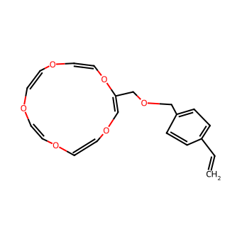 C=Cc1ccc(COCC2=COC=COC=COC=COC=CO2)cc1